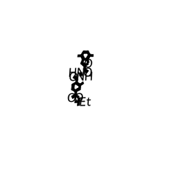 CCC(C)(C)OC(=O)c1ccc(C(=O)NNC(=O)c2cc3c(C)ccc(C)c3o2)c(C)c1